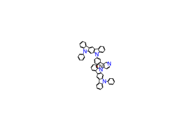 N#Cc1ccc(-n2c3ccccc3c3cc4c5ccccc5n(-c5ccccc5)c4cc32)cc1-c1cnccc1-n1c2ccccc2c2cc3c4ccccc4n(-c4ccccc4)c3cc21